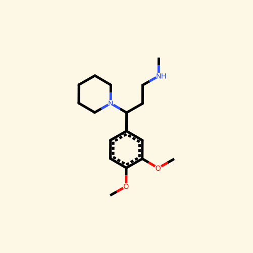 CNCCC(c1ccc(OC)c(OC)c1)N1CCCCC1